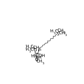 COBN[C@@H](COC(C)(C)C)[C@H](O)C#CCCCCCCCCCCCCCSC(C)(C)C